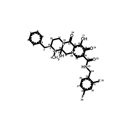 CN1[C@@H](Cc2ccccc2)CCN2C(=O)c3c(O)c(=O)c(C(=O)NCc4ccc(F)cc4F)cn3CC21S